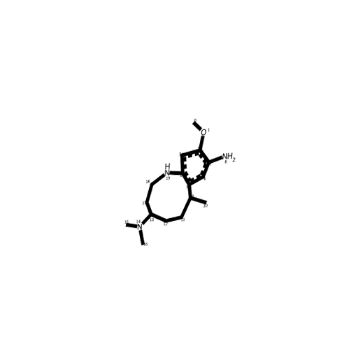 COc1cc2c(cc1N)C(C)CCC(N(C)C)CCN2